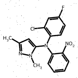 Cc1cc(N(c2ccc(F)cc2Cl)c2ccccc2[N+](=O)[O-])n(C)n1